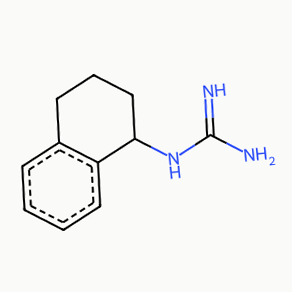 N=C(N)NC1CCCc2ccccc21